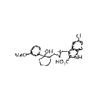 COc1cccc(C2(O)CCCCC2CNCc2c(C(=O)O)[nH]c3ccc(Cl)cc23)c1